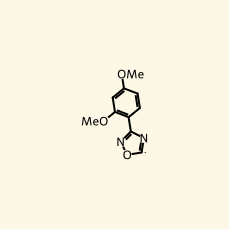 COc1ccc(-c2n[c]on2)c(OC)c1